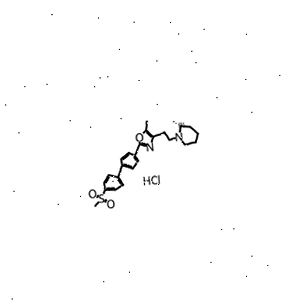 Cc1oc(-c2ccc(-c3ccc(S(C)(=O)=O)cc3)cc2)nc1CCN1CCCC[C@H]1C.Cl